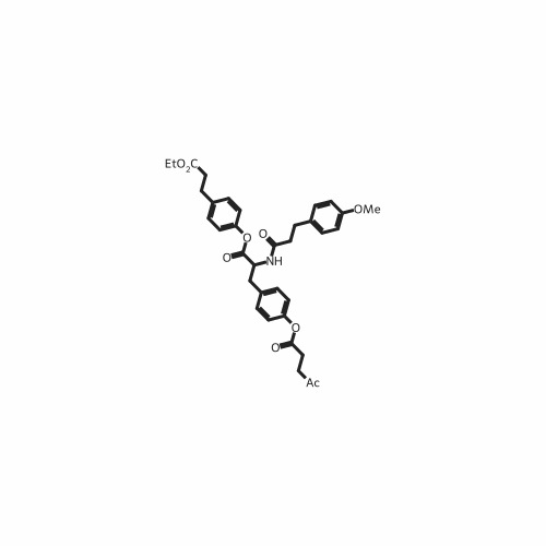 CCOC(=O)CCc1ccc(OC(=O)C(Cc2ccc(OC(=O)CCC(C)=O)cc2)NC(=O)CCc2ccc(OC)cc2)cc1